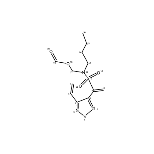 C=Cc1nsnc1C(=C)S(=O)(=O)N(CCCC)COC=O